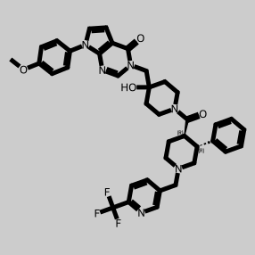 COc1ccc(-n2ccc3c(=O)n(CC4(O)CCN(C(=O)[C@@H]5CCN(Cc6ccc(C(F)(F)F)nc6)C[C@H]5c5ccccc5)CC4)cnc32)cc1